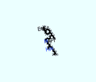 C=C/C=C(\C/C=C(\C\C=N/C=C/C=C(\C=C)CNCCCC(=C)C)CCC)CC1=C/CC=C(CC(C)(CC)CC)C/C=C\1